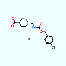 O=C(NC[C@H]1CC[C@H](C(=O)[O-])CC1)OCc1ccc(Cl)cc1.[K+]